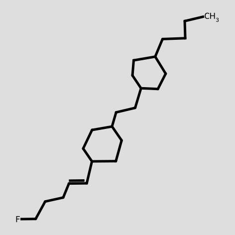 CCCCC1CCC(CCC2CCC(/C=C/CCCF)CC2)CC1